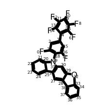 Fc1cc(-c2c(F)c(F)c(F)c(F)c2F)cc(F)c1-n1c2ccccc2c2cc3c(cc21)oc1ccccc13